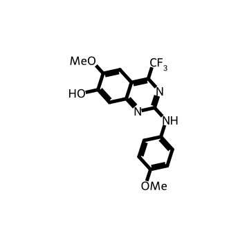 COc1ccc(Nc2nc(C(F)(F)F)c3cc(OC)c(O)cc3n2)cc1